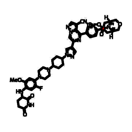 COc1cc(N2CCN(C3CCC(n4cc(-c5cn6ncc(C#N)c6c(-c6ccc(N7C[C@H]8COC[C@@H](C7)N8C(=O)OC(C)(C)C)nc6)n5)cn4)CC3)CC2)c(F)cc1NC1CCC(=O)NC1=O